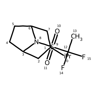 CC(C)C1CC2CCC(C1)N2S(=O)(=O)C(C)(F)F